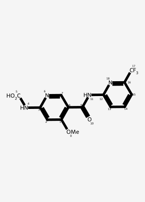 COc1cc(NC(=O)O)ncc1C(=O)Nc1cccc(C(F)(F)F)n1